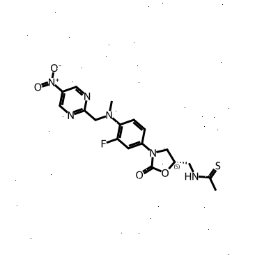 CC(=S)NC[C@H]1CN(c2ccc(N(C)Cc3ncc([N+](=O)[O-])cn3)c(F)c2)C(=O)O1